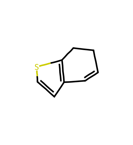 C1=Cc2ccsc2CC1